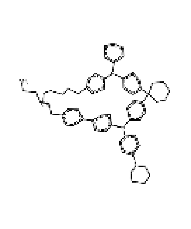 CCCCCCc1ccc(-c2ccc(N(c3ccc(C4CCCCC4)cc3)c3ccc(C4(c5ccc(N(c6ccccc6)c6ccc(CCCCCC)cc6)cc5)CCCCC4)cc3)cc2)cc1